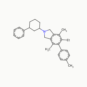 CCc1c(C)c2c(c(C)c1-c1ccc(C)cc1)CN(C1CCCC(c3ccccc3)C1)C2